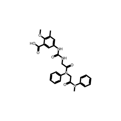 COc1c(C)cc(NC(=O)NCC(=O)N(CC(=O)N(C)c2ccccc2)c2ccccc2)cc1C(=O)O